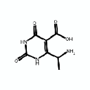 CC(N)c1[nH]c(=O)[nH]c(=O)c1C(=O)O